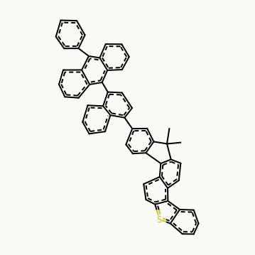 CC1(C)c2cc(-c3ccc(-c4c5ccccc5c(-c5ccccc5)c5ccccc45)c4ccccc34)ccc2-c2c1ccc1c2ccc2sc3ccccc3c21